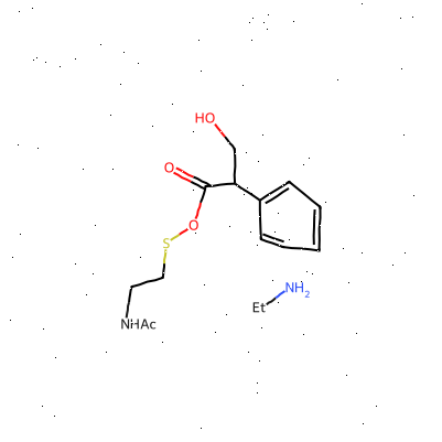 CC(=O)NCCSOC(=O)C(CO)c1ccccc1.CCN